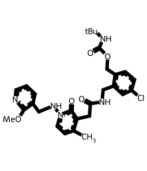 COc1ncccc1CNn1ccc(C)c(CC(=O)NCc2cc(Cl)ccc2COC(=O)NC(C)(C)C)c1=O